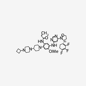 C=CC(=O)Nc1cc(Nc2cc(N3OCC[C@@H]3C3=C(F)C(F)=C(F)CC3)ncn2)c(OC)cc1N1CCC(N2CCN(C3CCC3)CC2)CC1